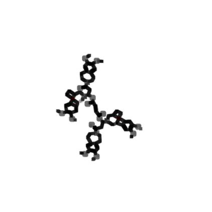 COc1cc2c(cc1OC)CCN(C(=O)CC(OC(=O)/C=C/C(=O)OC(CC(=O)N1CCc3cc(OC)c(OC)cc3CC1)N(CC1CCC1)C[C@H]1Cc3cc(OC)c(OC)cc31)N(CC1CCC1)C[C@H]1Cc3cc(OC)c(OC)cc31)CC2